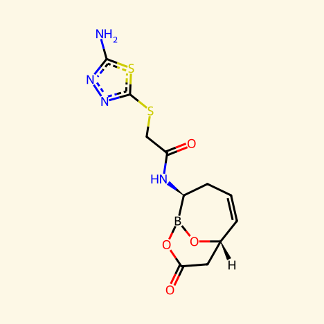 Nc1nnc(SCC(=O)N[C@H]2CC=C[C@@H]3CC(=O)OB2O3)s1